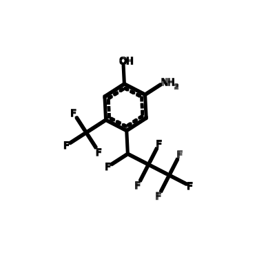 Nc1cc(C(F)C(F)(F)C(F)(F)F)c(C(F)(F)F)cc1O